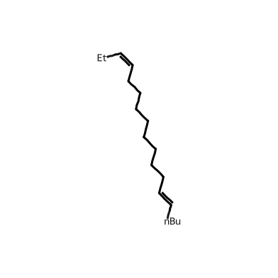 [CH2]C/C=C\CCCCCCCC/C=C/CCCC